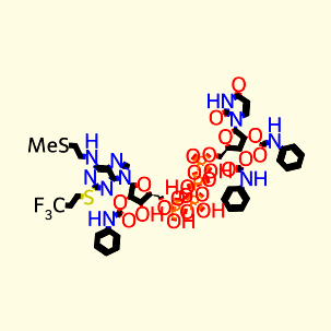 CSCCNc1nc(SCCC(F)(F)F)nc2c1ncn2[C@@H]1O[C@H](COP(=O)(O)OP(=O)(O)OP(=O)(O)OP(=O)(O)OC[C@H]2O[C@@H](n3ccc(=O)[nH]c3=O)[C@H](OC(=O)Nc3ccccc3)[C@@H]2OC(=O)Nc2ccccc2)[C@@H](O)[C@H]1OC(=O)Nc1ccccc1